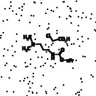 CCCOC(=O)NCCCN(C)C.O=C(O)CCl